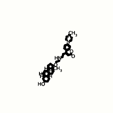 CN1CCN(c2ccc3c(CCNCCO[C@H]4CC[C@H]5[C@@H]6CC[C@H]7C[C@H](O)CC[C@]7(C)[C@H]6CC[C@]45C)cc(=O)oc3c2)CC1